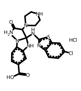 CN1c2ccc(C(=O)O)cc2NC1(Nc1nc2ccc(Cl)cc2s1)C(C(N)=O)N1CCNCC1.Cl